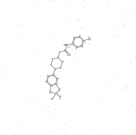 O=C(CC1CCC(c2ccc3c(c2)OC(F)(F)O3)CC1)Nc1ccc(Cl)cc1